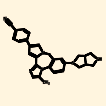 Cc1cnc2n1-c1ccc(N3CC4CNCC4C3)cc1Cn1cc(-c3ccc(C#N)cc3)cc1-2